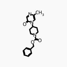 Cc1cn(C2CCN(C(=O)OCc3ccccc3)CC2)c(=O)cn1